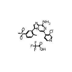 Cc1ccc(S(C)(=O)=O)cc1-c1cnc2c(N)nc(-c3ccncc3Cl)cn12.O=C(O)C(F)(F)F